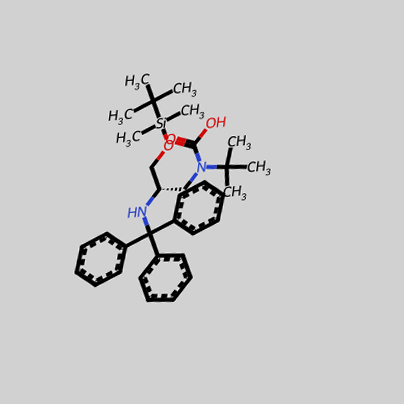 CC(C)(C)N(C[C@@H](CO[Si](C)(C)C(C)(C)C)NC(c1ccccc1)(c1ccccc1)c1ccccc1)C(=O)O